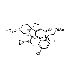 COCCc1ccc(Cl)c(CN(C(=O)[C@H]2CN(C(=O)O)CC[C@@]2(O)c2ccn(C)c(=O)c2)C2CC2)c1